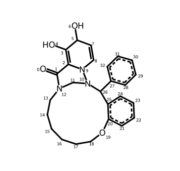 O=C1C2=C(O)C(O)C=CN2N2CN1CCCCCCOc1ccccc1C2c1ccccc1